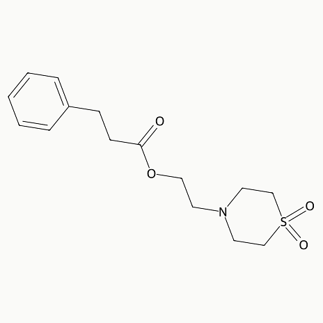 O=C(CCc1ccccc1)OCCN1CCS(=O)(=O)CC1